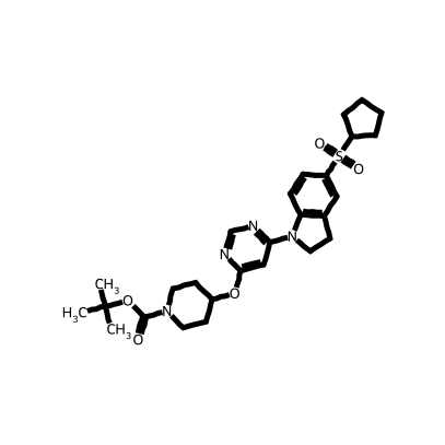 CC(C)(C)OC(=O)N1CCC(Oc2cc(N3CCc4cc(S(=O)(=O)C5CCCC5)ccc43)ncn2)CC1